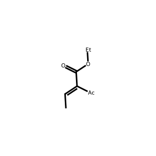 C/C=C(\C(C)=O)C(=O)OCC